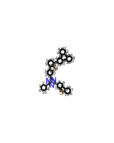 c1ccc(-c2nc(-c3ccc4c(c3)sc3ccccc34)nc(-c3ccc4c(c3)sc3c(-c5ccc6c7ccccc7c7ccccc7c6c5)cccc34)n2)cc1